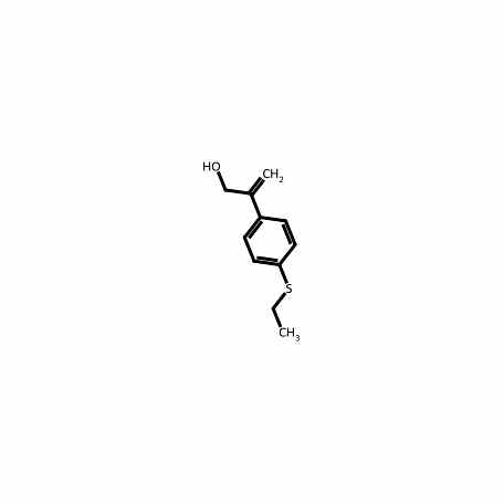 C=C(CO)c1ccc(SCC)cc1